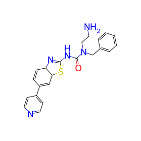 NCCN(Cc1ccccc1)C(=O)NC1=NC2C=CC(c3ccncc3)=CC2S1